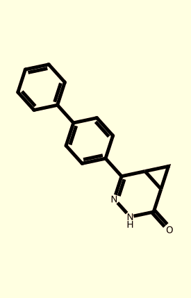 O=C1NN=C(c2ccc(-c3ccccc3)cc2)C2CC12